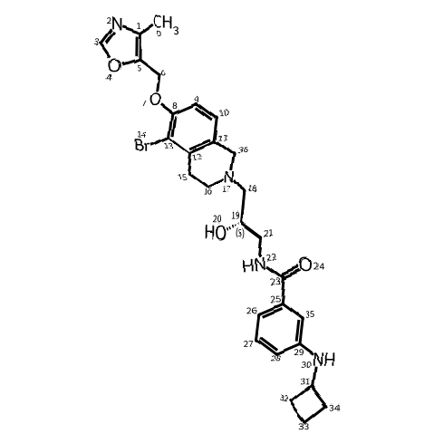 Cc1ncoc1COc1ccc2c(c1Br)CCN(C[C@@H](O)CNC(=O)c1cccc(NC3CCC3)c1)C2